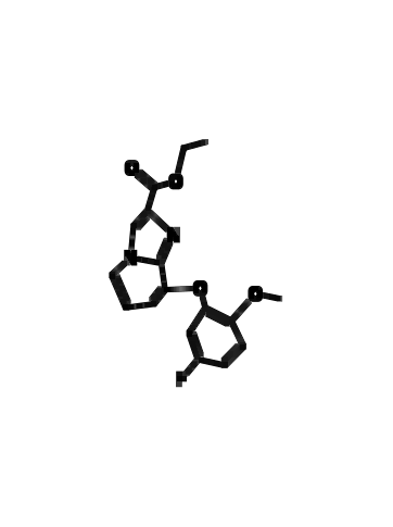 CCOC(=O)c1cn2cccc(Oc3cc(F)ccc3OC)c2n1